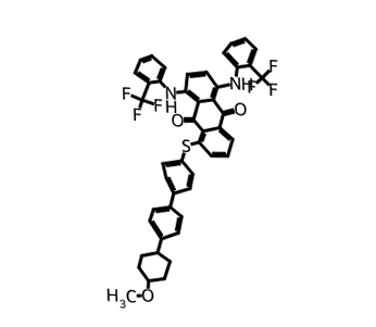 COC1CCC(c2ccc(-c3ccc(Sc4cccc5c4C(=O)c4c(Nc6ccccc6C(F)(F)F)ccc(Nc6ccccc6C(F)(F)F)c4C5=O)cc3)cc2)CC1